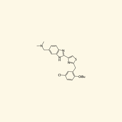 CC(C)COc1ccc(Cl)cc1Cc1nc(-c2nc3ccc(CN(C)C)cc3[nH]2)cs1